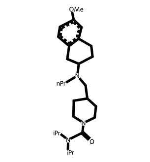 CCCN(CC1CCN(C(=O)N(C(C)C)C(C)C)CC1)C1CCc2cc(OC)ccc2C1